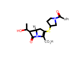 CCCC(=O)N1CCC(SC2=C(C(=O)O)N3C(=O)C(C(C)O)[C@H]3C2)C1